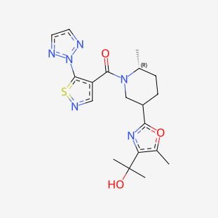 Cc1oc(C2CC[C@@H](C)N(C(=O)c3cnsc3-n3nccn3)C2)nc1C(C)(C)O